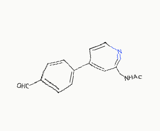 CC(=O)Nc1cc(-c2ccc(C=O)cc2)ccn1